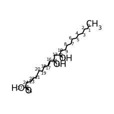 CCCCCCCCCCCC(O)CC(O)C=CCCCCCCCC(=O)O